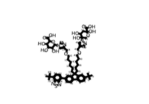 CC(C)(C)c1ccc2c(c1)C(CCCCCCOCc1cn(C3OC(C(=O)O)C(O)C(O)C3O)nn1)(CCCCCCOCc1cn(C3(O)COC(O)(C(=O)O)CC3O)nn1)c1cc(-c3ccc(C(C)(C)C)c4nsnc34)ccc1-2